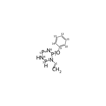 C=Cn1[pH][nH]pnp1Oc1ccccc1